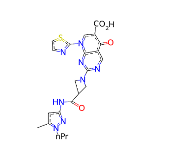 CCCn1nc(NC(=O)C2CN(c3ncc4c(=O)c(C(=O)O)cn(-c5nccs5)c4n3)C2)cc1C